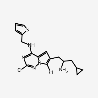 NC(Cc1cc2c(NCc3cccs3)nc(Cl)nn2c1Cl)CC1CC1